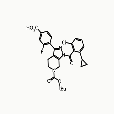 CC(C)(C)OC(=O)N1CCc2c(-c3ccc(C(=O)O)cc3F)nn(C(=O)c3c(Cl)cccc3C3CC3)c2C1